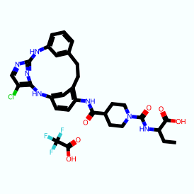 CCC(NC(=O)N1CCC(C(=O)Nc2ccc3cc2CCc2cccc(c2)Nc2ncc(Cl)c(n2)N3)CC1)C(=O)O.O=C(O)C(F)(F)F